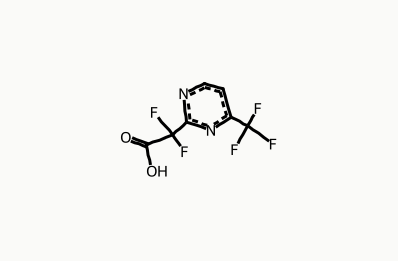 O=C(O)C(F)(F)c1nccc(C(F)(F)F)n1